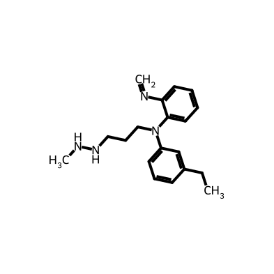 C=Nc1ccccc1N(CCCNNC)c1cccc(CC)c1